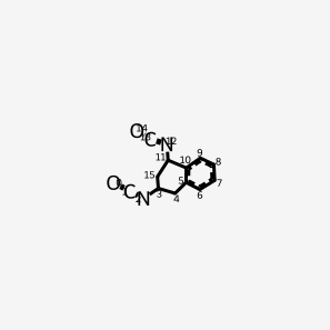 O=C=NC1Cc2ccccc2C(N=C=O)C1